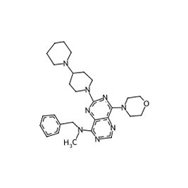 CN(Cc1ccccc1)c1ncnc2c(N3CCOCC3)nc(N3CCC(N4CCCCC4)CC3)nc12